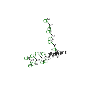 CCCCCC.CCCCCC.CCCCCC.ClCCl.ClCCl.ClCCl.ClCCl.ClCCl.ClCCl.ClCCl